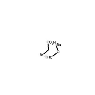 CC(C)(C)O[C]=O.O=C(O)CBr